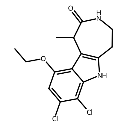 CCOc1cc(Cl)c(Cl)c2[nH]c3c(c12)C(C)C(=O)NCC3